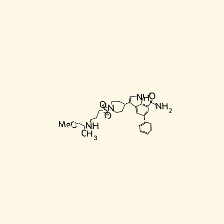 COCC(C)NCCCS(=O)(=O)N1CCC(c2c[nH]c3c(C(N)=O)cc(-c4ccccc4)cc23)CC1